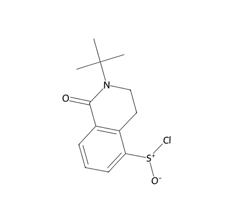 CC(C)(C)N1CCc2c(cccc2[S+]([O-])Cl)C1=O